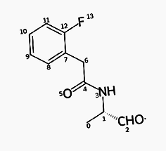 C[C@@H]([C]=O)NC(=O)Cc1ccccc1F